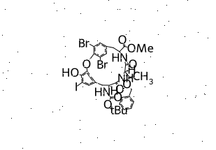 COC(=O)C1Cc2cc(Br)c(c(Br)c2)Oc2cc(cc(I)c2O)C[C@H](NC(=O)OC(C)(C)C)C(=O)N[C@@H](C(C)OCc2ccccc2)C(=O)N1